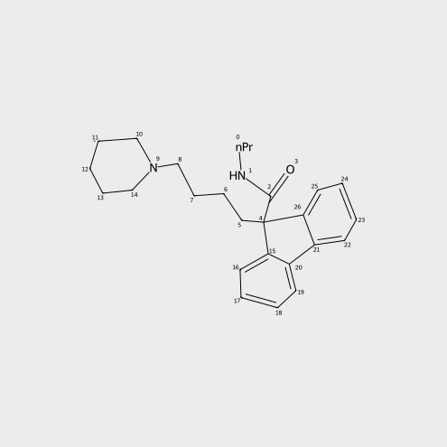 CCCNC(=O)C1(CCCCN2C[CH]CCC2)c2ccccc2-c2ccccc21